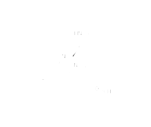 COCCCn1c([C@@H]2CCCNC2)nc2cc(F)ccc21